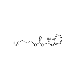 CCCCOC(=O)Oc1cc2ccccc2[nH]1